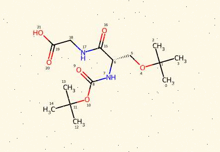 CC(C)(C)OC[C@H](NC(=O)OC(C)(C)C)C(=O)NCC(=O)O